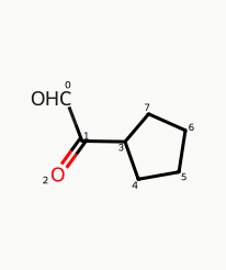 O=CC(=O)C1CCCC1